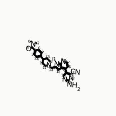 CN(C)C(=O)c1ccc(C2CCN(Cc3cc4c(-c5cnc(N)nc5C#N)ccnc4n3C)CC2)cc1